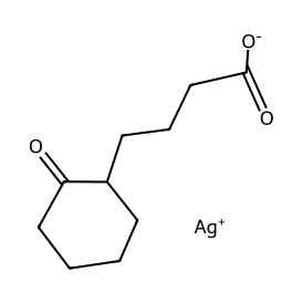 O=C([O-])CCCC1CCCCC1=O.[Ag+]